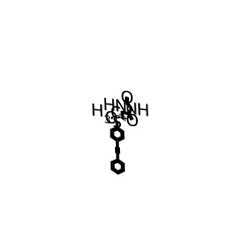 CC1(C[S+]([O-])c2ccc(C#Cc3ccccc3)cc2)NC(=O)NC1=O